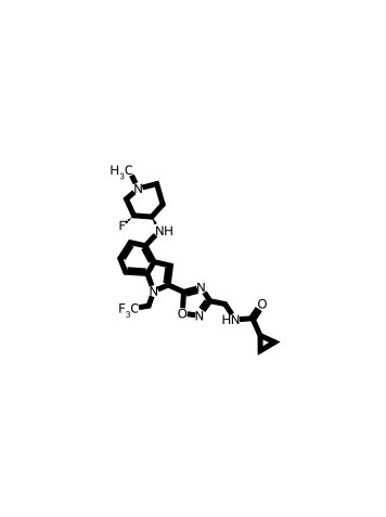 CN1CC[C@H](Nc2cccc3c2cc(-c2nc(CNC(=O)C4CC4)no2)n3CC(F)(F)F)[C@H](F)C1